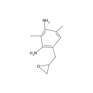 Cc1cc(CC2CO2)c(N)c(C)c1N